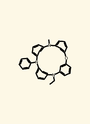 CCN1c2cccc(c2)Oc2cccc(c2)N(C)c2cccc(c2)N(c2ccccc2)c2cccc1c2